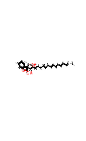 CCCCCCCCCCCCCCCCC(CO)(C(=O)O)c1ccccc1